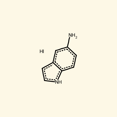 I.Nc1ccc2[nH]ccc2c1